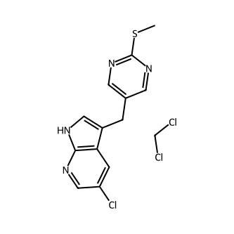 CSc1ncc(Cc2c[nH]c3ncc(Cl)cc23)cn1.ClCCl